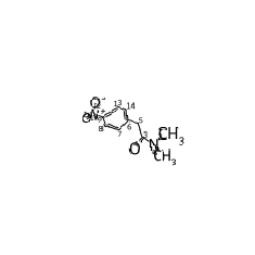 CN(C)C(=O)Cc1ccc([N+](=O)[O-])cc1